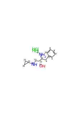 Cl.Cl.N[C@@H](Cc1ccccc1)[C@H](O)CNC1CC1